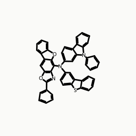 c1ccc(-c2nc3c(N(c4ccc5sc6ccccc6c5c4)c4ccc5c6ccccc6n(-c6ccccc6)c5c4)c4oc5ccccc5c4cc3o2)cc1